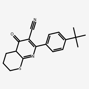 CC(C)(C)c1ccc(C2=C(C#N)C(=O)C3CCCSC3=N2)cc1